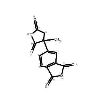 CC1(c2ccc3c(c2)C(=O)OC3=O)CC(=O)OC1=O